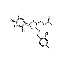 CC(=O)OC[C@@H]1O[C@H](n2cc(F)c(=O)[nH]c2=O)CC1OCc1ccc(Cl)cc1Cl